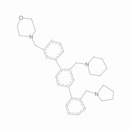 [c]1ccc(-c2ccc(-c3ccccc3CN3CCCC3)cc2CN2CCCCC2)cc1CN1CCOCC1